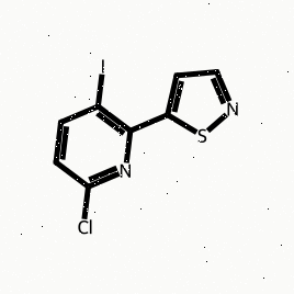 Clc1ccc(I)c(-c2ccns2)n1